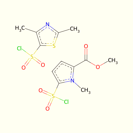 COC(=O)c1ccc(S(=O)(=O)Cl)n1C.Cc1nc(C)c(S(=O)(=O)Cl)s1